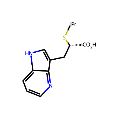 CC(C)S[C@@H](Cc1c[nH]c2cccnc12)C(=O)O